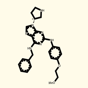 COCCOc1ccc(Nc2nc(NCc3ccccc3)c3ncn([C@@H]4CCNC4)c3n2)cc1